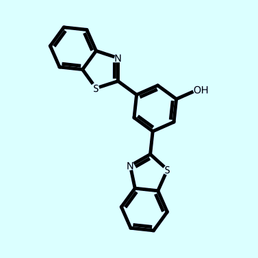 Oc1cc(-c2nc3ccccc3s2)cc(-c2nc3ccccc3s2)c1